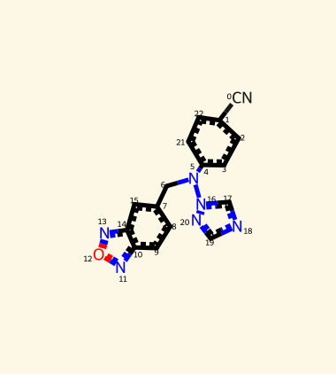 N#Cc1ccc(N(Cc2ccc3nonc3c2)n2cncn2)cc1